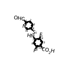 O=Cc1ccc(SNc2cc(F)c(C(=O)O)cc2F)cn1